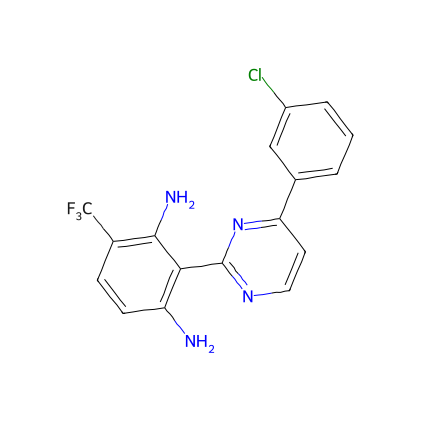 Nc1ccc(C(F)(F)F)c(N)c1-c1nccc(-c2cccc(Cl)c2)n1